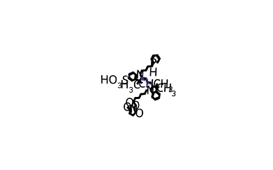 CC1(C)C(/C=C/C=C2/N(CCCC[PH]3=CC=CC=C3)c3ccc(S(=O)(=O)O)cc3C2(C)C)=[N+](CCCCCC(=O)ON2C(=O)CCC2=O)c2ccccc21